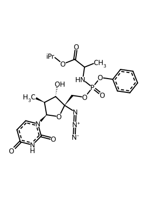 CC(C)OC(=O)C(C)NP(=O)(OC[C@@]1(N=[N+]=[N-])O[C@@H](n2ccc(=O)[nH]c2=O)[C@@H](C)[C@@H]1O)Oc1ccccc1